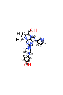 CC(CCO)N(C)c1nc(N2CCN(c3ccc(O)cc3)CC2)nc2c1ncn2-c1cccnc1